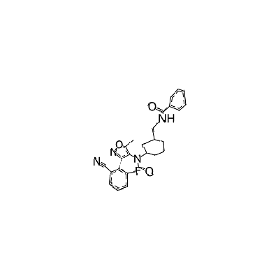 Cc1onc(-c2c(F)cccc2C#N)c1N(C=O)C1CCCC(CNC(=O)c2ccccc2)C1